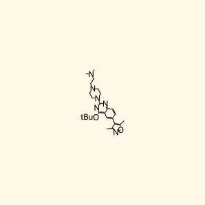 Cc1noc(C)c1-c1ccc2nc(N3CCN(CCN(C)C)CC3)nc(OC(C)(C)C)c2c1